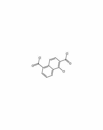 O=C(Cl)c1ccc2c(C(=O)Cl)cccc2c1Cl